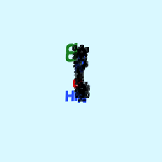 Clc1cccc(N2CCCN(CCCCOc3ccc4cn[nH]c4c3)CC2)c1Cl